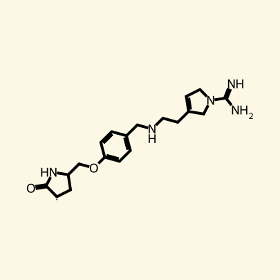 N=C(N)N1CC=C(CCNCc2ccc(OCC3C[CH]C(=O)N3)cc2)C1